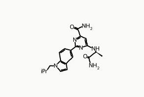 CC(C)Cn1ccc2cc(-c3nc(N[C@@H](C)C(N)=O)cc(C(N)=O)n3)ccc21